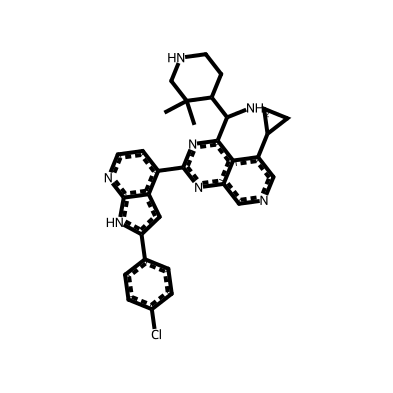 CC1(C)CNCCC1C(N)c1nc(-c2ccnc3[nH]c(-c4ccc(Cl)cc4)cc23)nc2cncc(C3CC3)c12